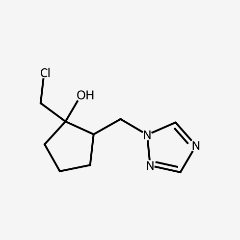 OC1(CCl)CCCC1Cn1cncn1